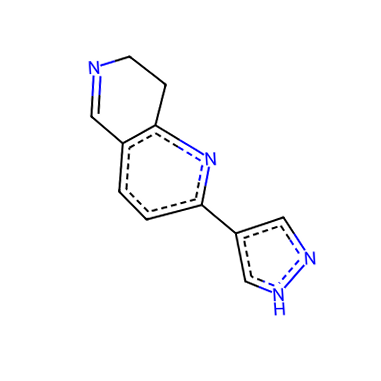 C1=NCCc2nc(-c3cn[nH]c3)ccc21